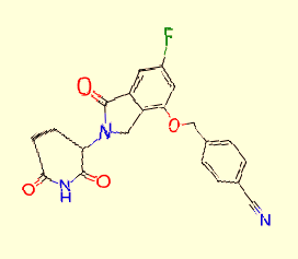 N#Cc1ccc(COc2cc(F)cc3c2CN(C2CCC(=O)NC2=O)C3=O)cc1